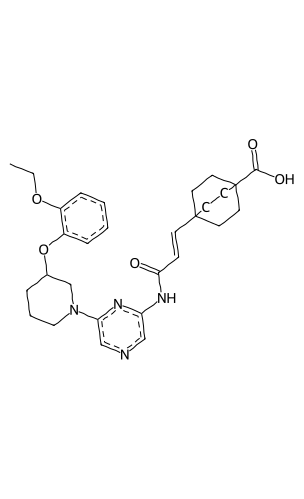 CCOc1ccccc1OC1CCCN(c2cncc(NC(=O)C=CC34CCC(C(=O)O)(CC3)CC4)n2)C1